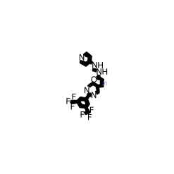 O=C(/C=C\C1C=NC(c2cc(C(F)(F)F)cc(C(F)(F)F)c2)=NCC1)NCNc1ccncc1